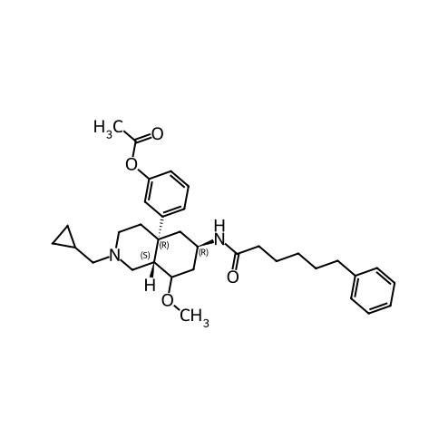 COC1C[C@H](NC(=O)CCCCCc2ccccc2)C[C@]2(c3cccc(OC(C)=O)c3)CCN(CC3CC3)C[C@@H]12